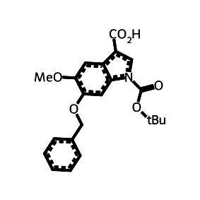 COc1cc2c(C(=O)O)cn(C(=O)OC(C)(C)C)c2cc1OCc1ccccc1